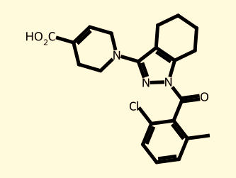 Cc1cccc(Cl)c1C(=O)n1nc(N2CC=C(C(=O)O)CC2)c2c1CCCC2